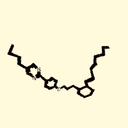 CCCCCCCCC1CCCCC1CCCOc1ccc(-c2ncc(CCCC)cn2)cc1